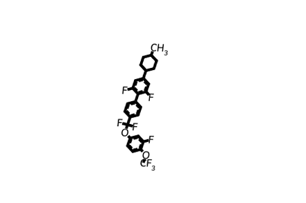 CC1CCC(c2cc(F)c(-c3ccc(C(F)(F)Oc4ccc(OC(F)(F)F)c(F)c4)cc3)c(F)c2)CC1